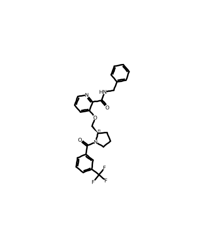 O=C(NCc1ccccc1)c1ncccc1OC[C@H]1CCCN1C(=O)c1cccc(C(F)(F)F)c1